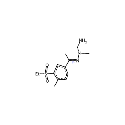 CCS(=O)(=O)c1cc(/C(C)=N/N(C)CN)ccc1C